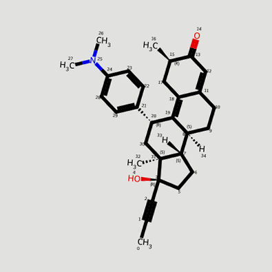 CC#C[C@@]1(O)CC[C@H]2[C@@H]3CCC4=CC(=O)[C@H](C)CC4=C3[C@@H](c3ccc(N(C)C)cc3)C[C@@]21C